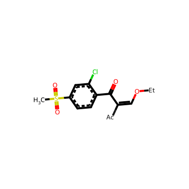 CCO/C=C(/C(C)=O)C(=O)c1ccc(S(C)(=O)=O)cc1Cl